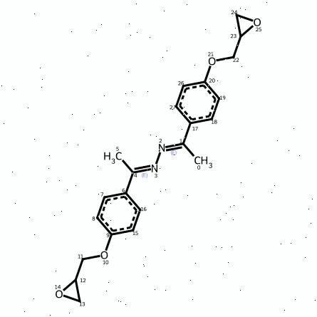 C/C(=N\N=C(/C)c1ccc(OCC2CO2)cc1)c1ccc(OCC2CO2)cc1